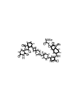 CNC(=O)COc1cc2cc(Nc3nc(N4CCC(F)(CN5CCC6(CC5)CN(c5cccc7c5C(=O)N(C5CCC(=O)NC5=O)C7=O)C6)CC4)ncc3Cl)ccc2n(C(C)C)c1=O